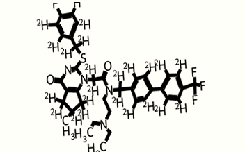 [2H]c1c([2H])c(C([2H])([2H])Sc2nc(=O)c3c(n2C([2H])([2H])C(=O)N(CCN(CC)CC)C([2H])([2H])c2c([2H])c([2H])c(-c4c([2H])c([2H])c(C(F)(F)F)c([2H])c4[2H])c([2H])c2[2H])C([2H])([2H])C([2H])(C)C3([2H])[2H])c([2H])c([2H])c1F